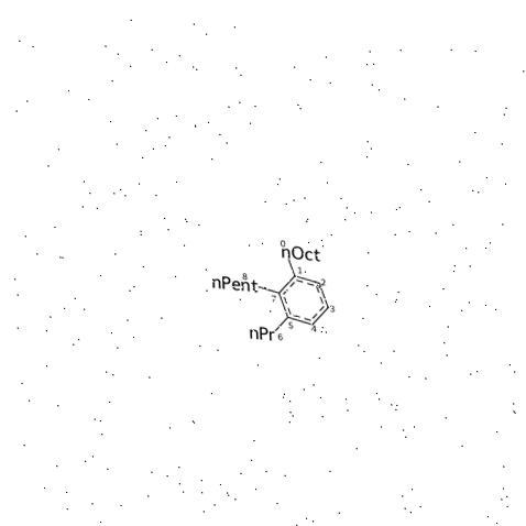 CCCCCCCCc1[c]ccc(CCC)c1CCCCC